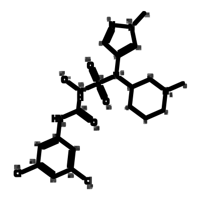 CN1CCCC(N(c2cnn(C)c2)S(=O)(=O)[NH+]([O-])C(=O)Nc2cc(Cl)cc(Cl)c2)C1